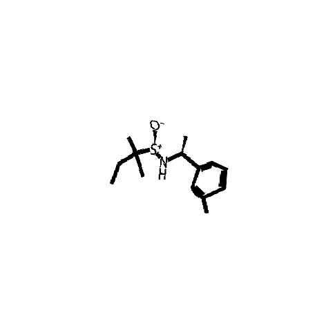 CCC(C)(C)[S@@+]([O-])N[C@@H](C)c1cccc(C)c1